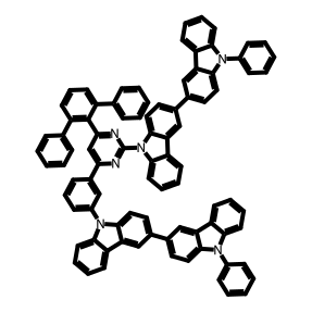 c1ccc(-c2cccc(-c3ccccc3)c2-c2cc(-c3cccc(-n4c5ccccc5c5cc(-c6ccc7c(c6)c6ccccc6n7-c6ccccc6)ccc54)c3)nc(-n3c4ccccc4c4cc(-c5ccc6c(c5)c5ccccc5n6-c5ccccc5)ccc43)n2)cc1